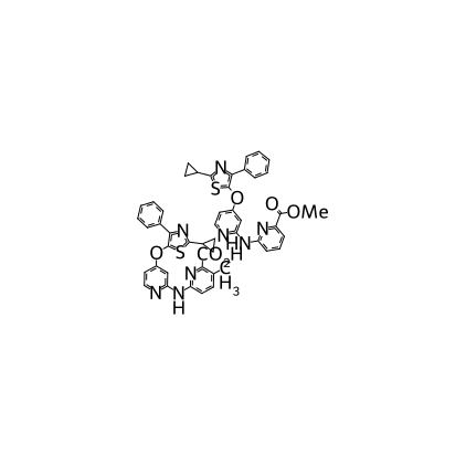 COC(=O)c1cccc(Nc2cc(Oc3sc(C4CC4)nc3-c3ccccc3)ccn2)n1.Cc1ccc(Nc2cc(Oc3sc(C4CC4)nc3-c3ccccc3)ccn2)nc1C(=O)O